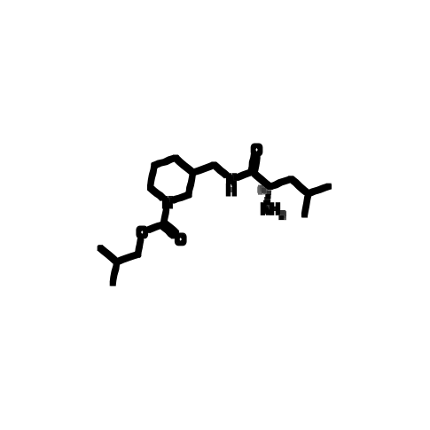 CC(C)COC(=O)N1CCCC(CNC(=O)[C@@H](N)CC(C)C)C1